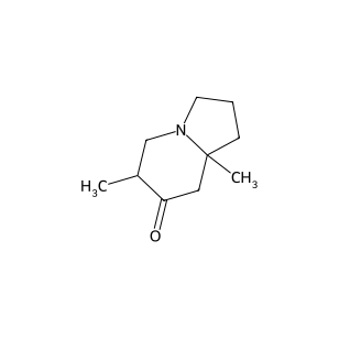 CC1CN2CCCC2(C)CC1=O